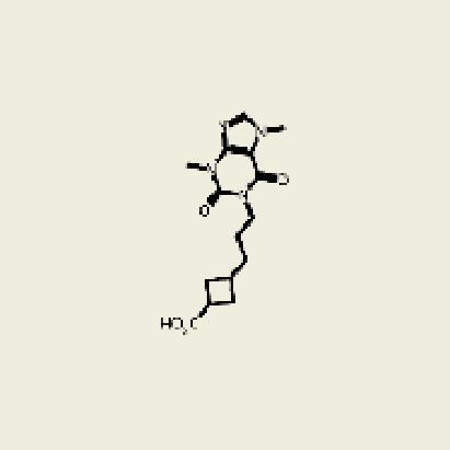 Cn1cnc2c1c(=O)n(CCCC1CC(C(=O)O)C1)c(=O)n2C